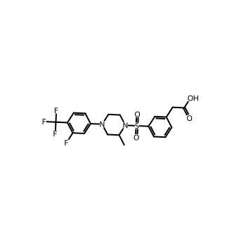 CC1CN(c2ccc(C(F)(F)F)c(F)c2)CCN1S(=O)(=O)c1cccc(CC(=O)O)c1